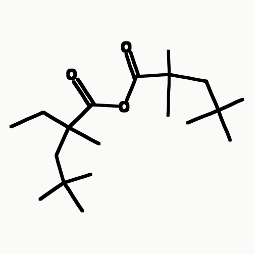 CCC(C)(CC(C)(C)C)C(=O)OC(=O)C(C)(C)CC(C)(C)C